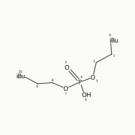 CCC(C)CCOP(=O)(O)OCCC(C)CC